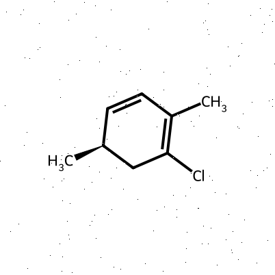 CC1=C(Cl)C[C@@H](C)C=C1